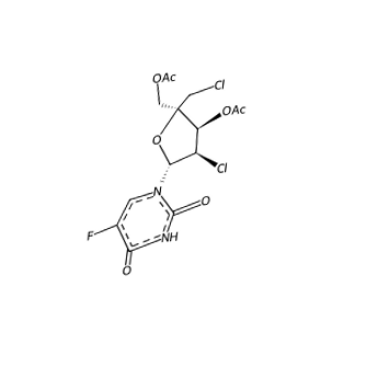 CC(=O)OC[C@@]1(CCl)O[C@@H](n2cc(F)c(=O)[nH]c2=O)[C@H](Cl)[C@@H]1OC(C)=O